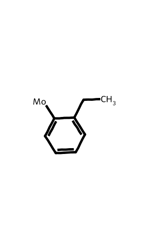 CCc1cccc[c]1[Mo]